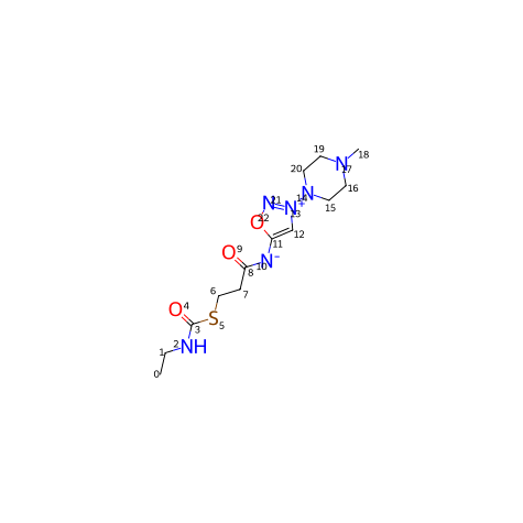 CCNC(=O)SCCC(=O)[N-]c1c[n+](N2CCN(C)CC2)no1